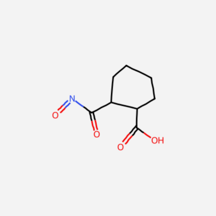 O=NC(=O)C1CCCCC1C(=O)O